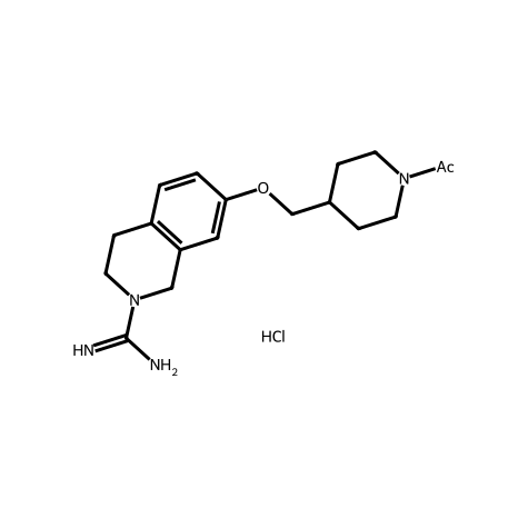 CC(=O)N1CCC(COc2ccc3c(c2)CN(C(=N)N)CC3)CC1.Cl